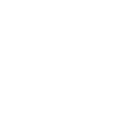 CN(C)C1Cc2c[nH]c3cc(C(N)=O)cc(c23)C1